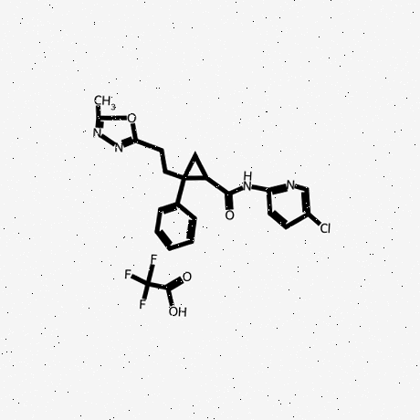 Cc1nnc(CCC2(c3ccccc3)CC2C(=O)Nc2ccc(Cl)cn2)o1.O=C(O)C(F)(F)F